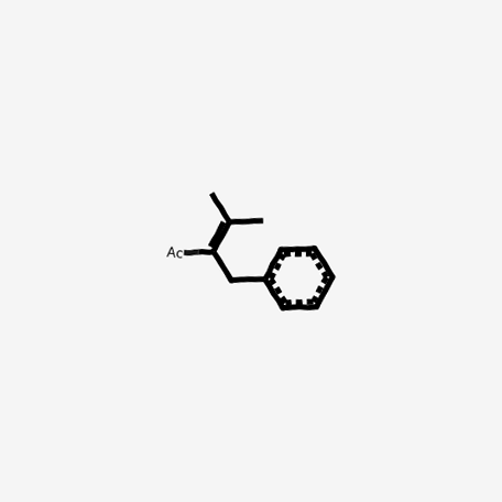 CC(=O)C(Cc1ccccc1)=C(C)C